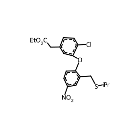 CCOC(=O)Cc1ccc(Cl)c(Oc2ccc([N+](=O)[O-])cc2CSC(C)C)c1